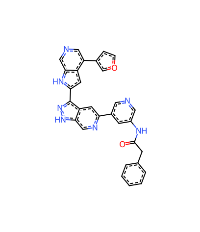 O=C(Cc1ccccc1)Nc1cncc(-c2cc3c(-c4cc5c(-c6ccoc6)cncc5[nH]4)n[nH]c3cn2)c1